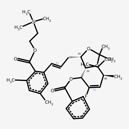 Cc1cc(C)c(C(=O)OCC[Si](C)(C)C)c(/C=C/C[C@@H]2OC(C)(C)O[C@@H]2C(OC(=O)c2ccccc2)/C(F)=C\[C@H](C)C(C)C)c1